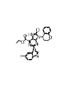 CCOC(=O)c1nc(-n2cnc3ccc(F)cc32)nc2c1[nH]c(=O)n2C1CCOc2ccccc21